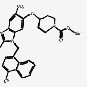 Cc1nc2cc([N+](=O)[O-])c(OC3CCN(C(=O)OC(C)(C)C)CC3)cc2n1Cc1ccc(C#N)c2ccccc12